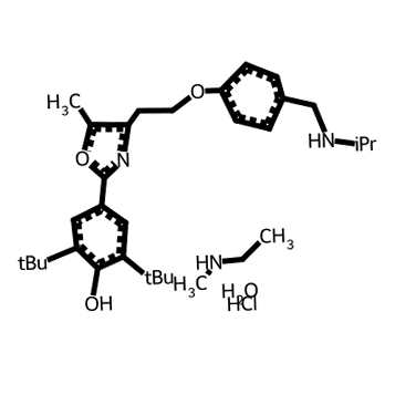 CCNC.Cc1oc(-c2cc(C(C)(C)C)c(O)c(C(C)(C)C)c2)nc1CCOc1ccc(CNC(C)C)cc1.Cl.O